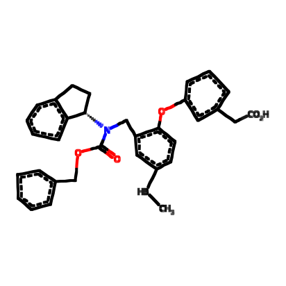 CBc1ccc(Oc2cccc(CC(=O)O)c2)c(CN(C(=O)OCc2ccccc2)[C@H]2CCc3ccccc32)c1